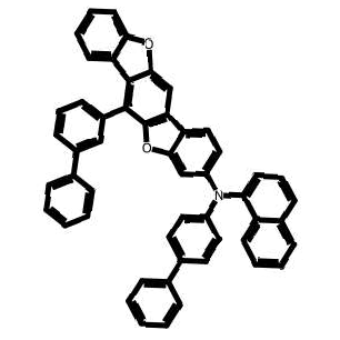 c1ccc(-c2ccc(N(c3ccc4c(c3)oc3c(-c5cccc(-c6ccccc6)c5)c5c(cc34)oc3ccccc35)c3cccc4ccccc34)cc2)cc1